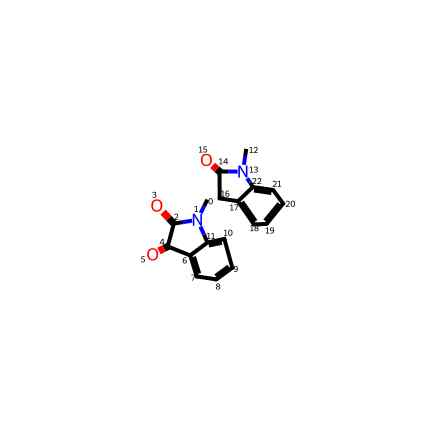 CN1C(=O)C(=O)c2ccccc21.CN1C(=O)Cc2ccccc21